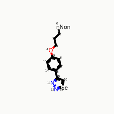 CCCCCCCCCCCCOc1ccc(-c2c[se]nn2)cc1